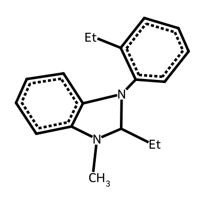 CCc1ccccc1N1c2ccccc2N(C)C1CC